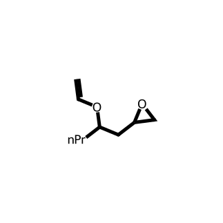 C=COC(CCC)CC1CO1